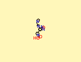 O=C(O)N1CCC=C(c2cc(N3CC(CN4CCCC4)C3)c3nonc3c2)C1